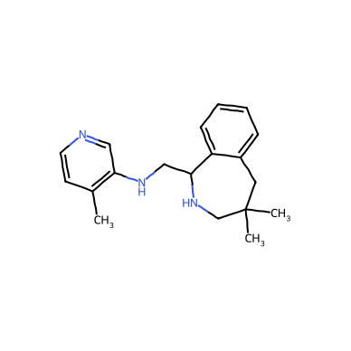 Cc1ccncc1NCC1NCC(C)(C)Cc2ccccc21